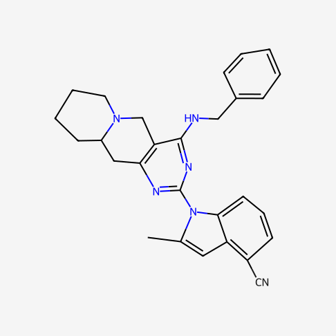 Cc1cc2c(C#N)cccc2n1-c1nc2c(c(NCc3ccccc3)n1)CN1CCCCC1C2